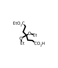 CCOC(=O)CCC(CCC(=O)O)(OCC)OCC